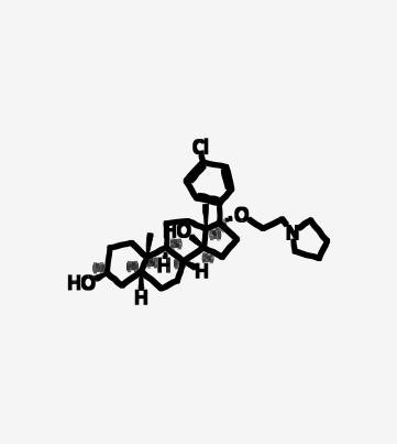 C[C@]12CC[C@H](O)C[C@H]1CC[C@@H]1[C@@H]2CC[C@]2(C)[C@@](OCCN3CCCC3)(c3ccc(Cl)cc3)CC[C@]12O